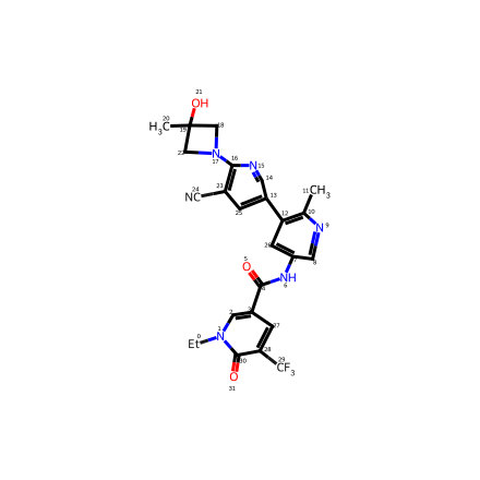 CCn1cc(C(=O)Nc2cnc(C)c(-c3cnc(N4CC(C)(O)C4)c(C#N)c3)c2)cc(C(F)(F)F)c1=O